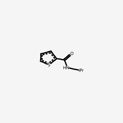 CC(C)NC(=O)c1cc[c]s1